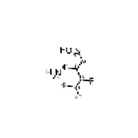 N.O=S(=O)(O)CC(F)C(F)C(F)F